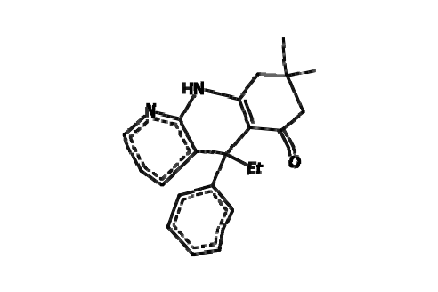 CCC1(c2ccccc2)C2=C(CC(C)(C)CC2=O)Nc2ncccc21